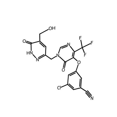 N#Cc1cc(Cl)cc(Oc2c(C(F)(F)F)ncn(Cc3cc(CO)c(=O)[nH]n3)c2=O)c1